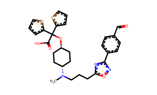 CN(CCCc1nc(-c2ccc(C=O)cc2)no1)[C@H]1CC[C@H](OC(C(=O)O)(c2cccs2)c2cccs2)CC1